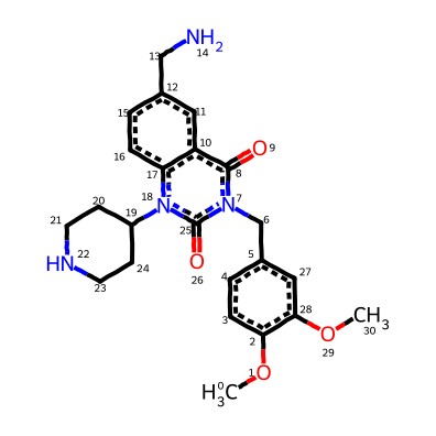 COc1ccc(Cn2c(=O)c3cc(CN)ccc3n(C3CCNCC3)c2=O)cc1OC